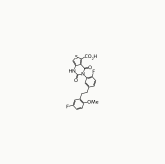 COc1ccc(F)cc1CCc1ccc(F)c(-n2c(=O)[nH]c3csc(C(=O)O)c3c2=O)c1